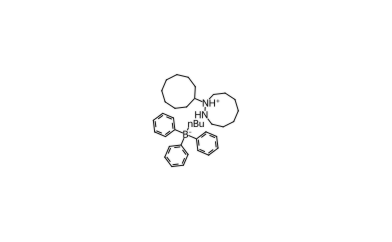 C1CCCCC([NH+]2CCCCCCCN2)CCC1.CCCC[B-](c1ccccc1)(c1ccccc1)c1ccccc1